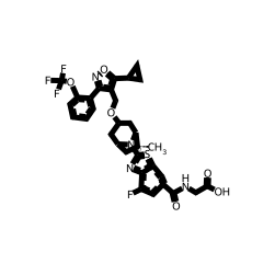 C[C@@H]1CC2CC(OCc3c(-c4ccccc4OC(F)(F)F)noc3C3CC3)CC1N2c1nc2c(F)cc(C(=O)NCC(=O)O)cc2s1